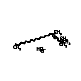 CCCCCCCCCCCCCCCCN(C)OCC[N+](C)(C)C.Cl.[Cl-]